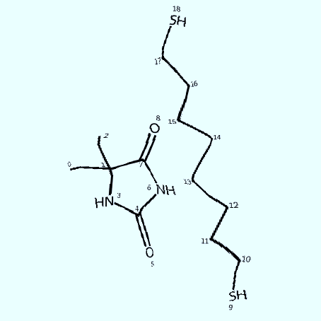 CC1(C)NC(=O)NC1=O.SCCCCCCCCS